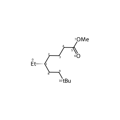 CC[C@H](CCCC(=O)OC)CCC(C)(C)C